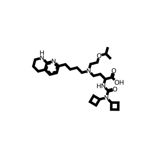 CC(C)OCCN(CCCCc1ccc2c(n1)NCCC2)CCC(NC(=O)N(C1CCC1)C1CCC1)C(=O)O